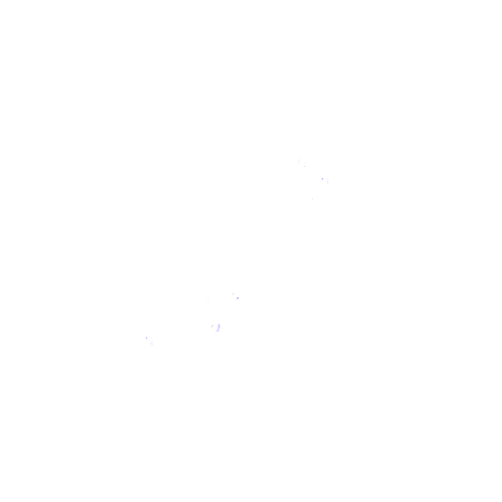 CN(C)C(=O)Oc1ccc(NC(=O)C2(N)CCNCC2)cc1